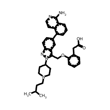 CC(C)CCN1CCC(n2nc3ccc(-c4cccc5c(N)nccc45)cc3c2COc2ccccc2CC(=O)O)CC1